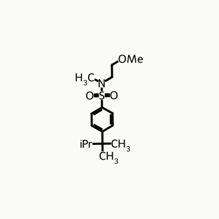 COCCN(C)S(=O)(=O)c1ccc(C(C)(C)C(C)C)cc1